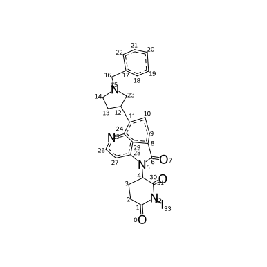 O=C1CCC(N2C(=O)c3ccc(C4CCN(Cc5ccccc5)C4)c4nccc2c34)C(=O)N1I